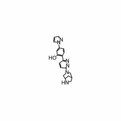 Oc1cc(-n2cccn2)ccc1-c1ccc(N2CC3CNC(C3)C2)nn1